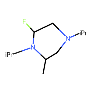 CC(C)N1CC(C)N(C(C)C)C(F)C1